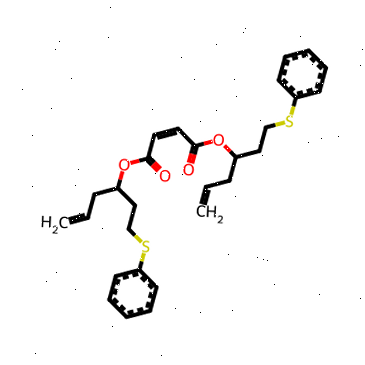 C=CCC(CCSc1ccccc1)OC(=O)/C=C\C(=O)OC(CC=C)CCSc1ccccc1